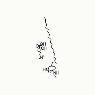 CCCCCCCCCCCCCCCCCCN(C)CC(CO)OC(=O)NCC.C[N+](C)(C)CCOP(=O)(O)O